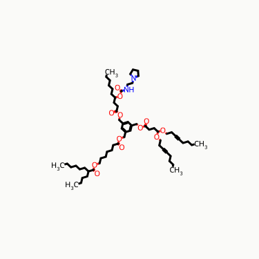 CCCCC#CCCOC(CCC(=O)OCc1cc(COC(=O)CCCCCCOC(=O)C(CCCC)CCCCCC)cc(COC(=O)CCC(CCCCCC)OC(=O)NCCN2CCCC2)c1)OCCC#CCCCC